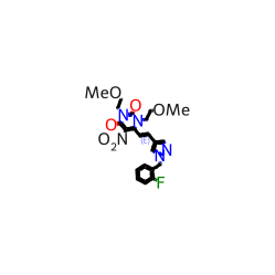 COCCn1c(/C=C/c2cnn(Cc3ccccc3F)c2)c([N+](=O)[O-])c(=O)n(CCOC)c1=O